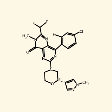 Cn1cc([C@H]2CN(c3nc(-c4ccc(Cl)cc4F)c4nc(C(F)F)n(C)c(=O)c4n3)CCO2)cn1